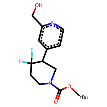 CC(C)(C)OC(=O)N1CCC(F)(F)C(c2ccnc(CO)c2)C1